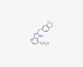 O=C(O)c1ccnc2cc(Cc3ccc4c(c3)OCC4)[nH]c12